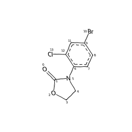 O=C1OCCN1c1ccc(Br)cc1Cl